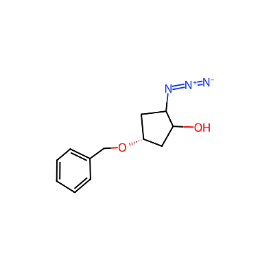 [N-]=[N+]=NC1C[C@@H](OCc2ccccc2)CC1O